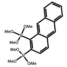 CO[Si](OC)(OC)c1ccc2cc3ccccc3cc2c1[Si](OC)(OC)OC